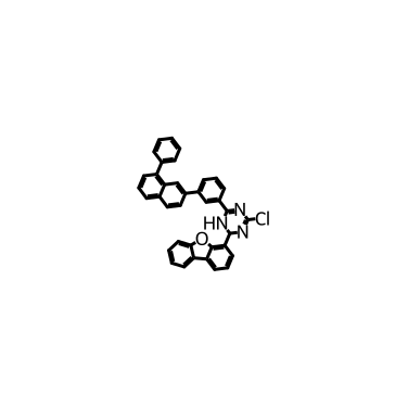 ClC1=NC(c2cccc3c2oc2ccccc23)NC(c2cccc(-c3ccc4cccc(-c5ccccc5)c4c3)c2)=N1